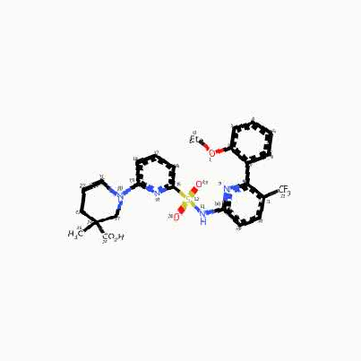 CCOc1ccccc1-c1nc(NS(=O)(=O)c2cccc(N3CCCC(C)(C(=O)O)C3)n2)ccc1C(F)(F)F